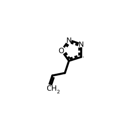 C=CCc1[c]nno1